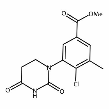 COC(=O)c1cc(C)c(Cl)c(N2CCC(=O)NC2=O)c1